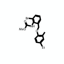 CCc1ccc(OCc2cccc(Br)c2NC(=O)OC)c(C)c1